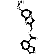 O=C(OCc1cn2ccc(OO)cc2n1)c1cccc2c1C=NC2